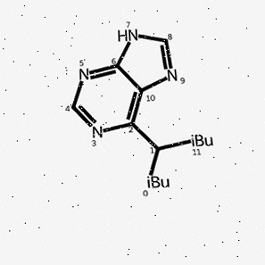 CCC(C)C(c1ncnc2[nH]cnc12)C(C)CC